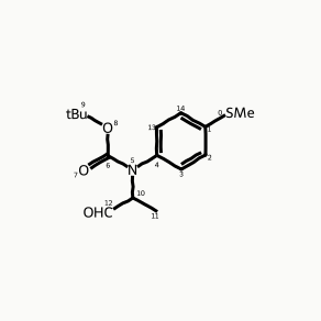 CSc1ccc(N(C(=O)OC(C)(C)C)C(C)C=O)cc1